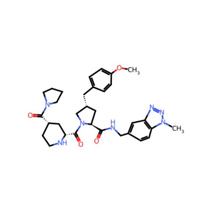 COc1ccc(C[C@@H]2C[C@@H](C(=O)NCc3ccc4c(c3)nnn4C)N(C(=O)[C@H]3C[C@@H](C(=O)N4CCCC4)CCN3)C2)cc1